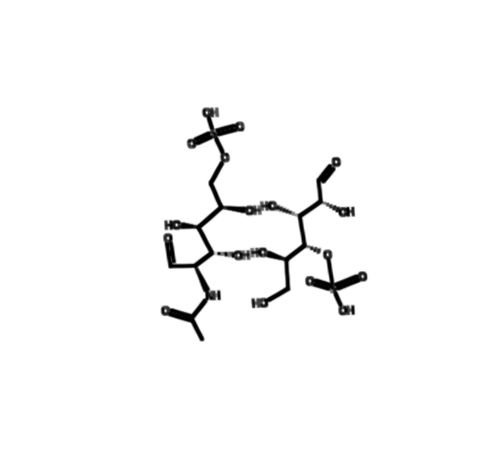 CC(=O)N[C@@H](C=O)[C@@H](O)[C@@H](O)[C@H](O)COS(=O)(=O)O.O=C[C@H](O)[C@@H](O)[C@H](OS(=O)(=O)O)[C@H](O)CO